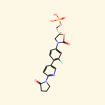 O=C1O[C@@H](COP(=O)(O)O)CN1c1ccc(-c2ccc(N3CCCC3=O)nc2)c(F)c1